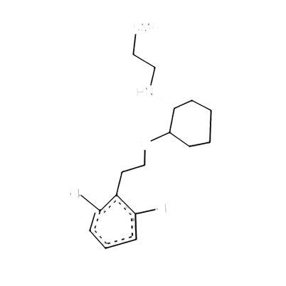 CSCCN[C@@H]1CCCCC1OCCc1c(Cl)cccc1Cl